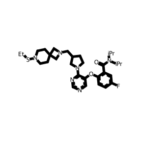 CCSN1CCC2(CC1)CN(CC1CCN(c3ncncc3Oc3ccc(F)cc3C(=O)N(C(C)C)C(C)C)C1)C2